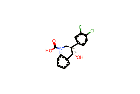 O=C(O)NC[C@@H](c1ccc(Cl)c(Cl)c1)[C@H](O)c1ccccc1